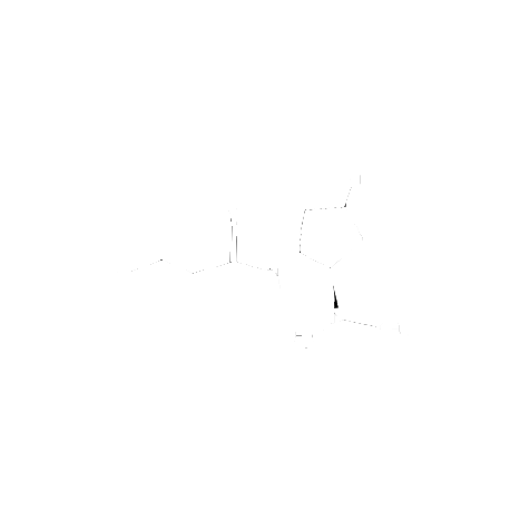 CN(C)[C@@H]1CC(Cl)C[C@H]1NC(=O)CCCl